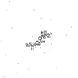 Cc1[nH]c(/C=C2\C(=O)Nc3cc(NC(=O)Nc4cc(C(C)(C)C)on4)ccc32)c(C)c1NC(=O)CN1CCCC1